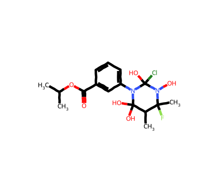 CC(C)OC(=O)c1cccc(N2C(O)(O)C(C)C(C)(F)N(O)C2(O)Cl)c1